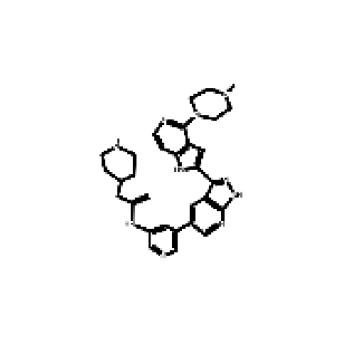 C=C(CC1CCNCC1)Nc1cncc(-c2cnc3[nH]nc(-c4cc5c(N6CCN(C)CC6)nccc5[nH]4)c3c2)c1